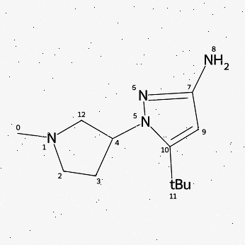 CN1CCC(n2nc(N)cc2C(C)(C)C)C1